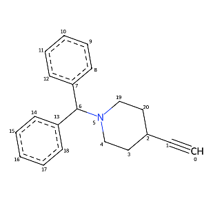 C#CC1CCN(C(c2ccccc2)c2ccccc2)CC1